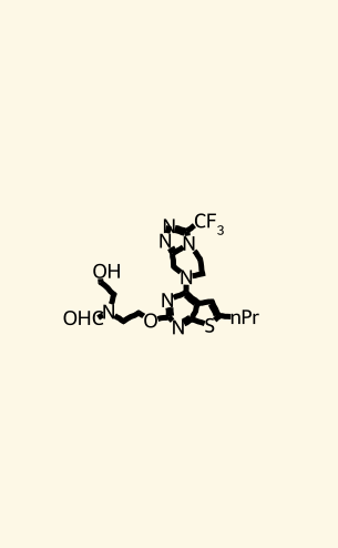 CCCc1cc2c(N3CCn4c(nnc4C(F)(F)F)C3)nc(OCCN(C=O)CCO)nc2s1